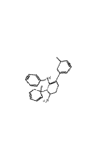 CC1C=CC=C(C2=C(Nc3ccccc3)C(C3(C)C=CC=CC3)C(N)CC2)C1